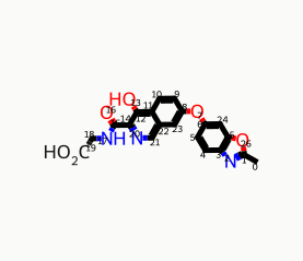 Cc1nc2ccc(Oc3ccc4c(O)c(C(=O)NCC(=O)O)ncc4c3)cc2o1